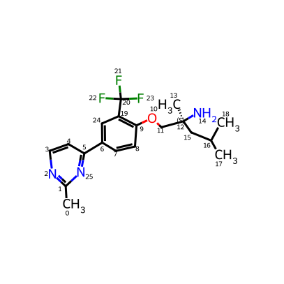 Cc1nccc(-c2ccc(OC[C@@](C)(N)CC(C)C)c(C(F)(F)F)c2)n1